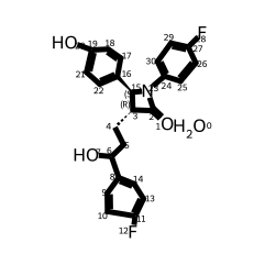 O.O=C1[C@H](CCC(O)c2ccc(F)cc2)[C@@H](c2ccc(O)cc2)N1c1ccc(F)cc1